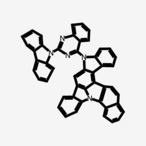 c1ccc2c(c1)ccc1c3c4c5ccccc5n(-c5nc(-n6c7ccccc7c7ccccc76)nc6ccccc56)c4cc4c5ccccc5n(c21)c43